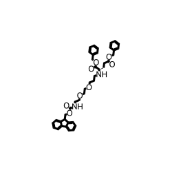 O=C(CC[C@H](NCCCOCCOCCNC(=O)OCC1c2ccccc2-c2ccccc21)C(=O)OCc1ccccc1)OCc1ccccc1